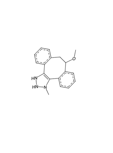 COC1Cc2ccccc2C2=C(c3ccccc31)N(C)NN2